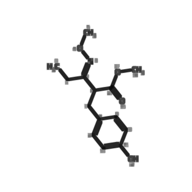 CC/C(=N\OC)C(Cc1ccc(O)cc1)C(=O)OC